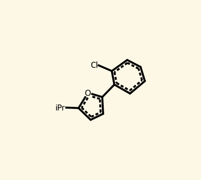 CC(C)c1ccc(-c2ccccc2Cl)o1